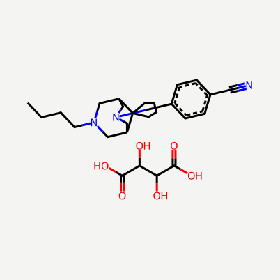 CCCCN1CC2CN(c3ccc(C#N)cc3)CC(C1)C21CCCC1.O=C(O)C(O)C(O)C(=O)O